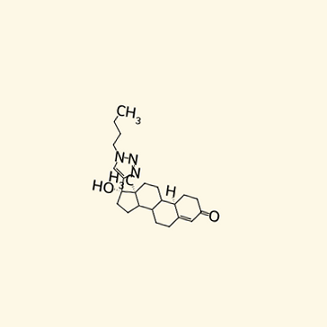 CCCCn1cc([C@]2(O)CCC3C4CCC5=CC(=O)CC[C@@H]5C4CC[C@@]32C)nn1